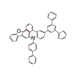 c1ccc(-c2ccc(N(c3ccc4oc5ccccc5c4c3)c3ccc(-c4cc(-c5ccccc5)cc(-c5ccccc5)c4)cc3-c3ccccc3)cc2)cc1